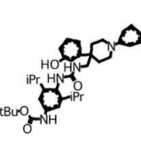 CC(C)c1cc(NC(=O)OC(C)(C)C)cc(C(C)C)c1NC(=O)NCC1(c2cccc(O)c2)CCN(c2ccccc2)CC1